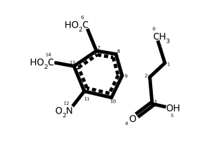 CCCC(=O)O.O=C(O)c1cccc([N+](=O)[O-])c1C(=O)O